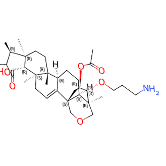 CC(=O)O[C@@H]1C[C@]23COC[C@@](C)([C@@H]2CC[C@H]2C3=CC[C@@]3(C)[C@H](C(=O)O)[C@@](C)([C@H](C)C(C)C)CC[C@]23C)[C@H]1OCCCN